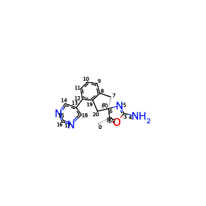 C[C@H]1OC(N)=N[C@@]12Cc1cccc(-c3cncnc3)c1C2